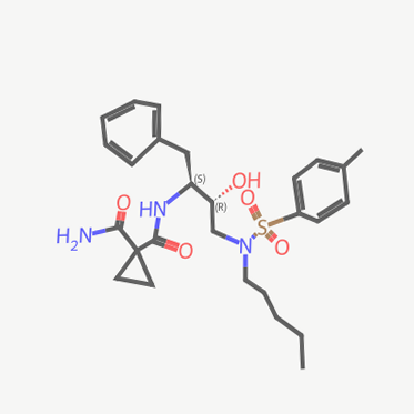 CCCCCN(C[C@@H](O)[C@H](Cc1ccccc1)NC(=O)C1(C(N)=O)CC1)S(=O)(=O)c1ccc(C)cc1